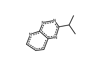 CC(C)c1nnc2ncccc2n1